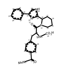 CNC(=O)c1ccc(CC(NC(=O)O)C(=O)N2CCCCC2c2nc(-c3ccccc3)c[nH]2)cc1